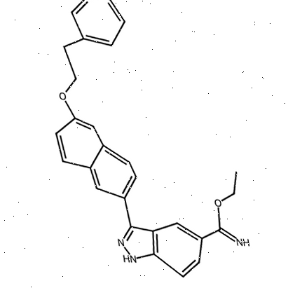 CCOC(=N)c1ccc2[nH]nc(-c3ccc4cc(OCCc5cccnc5)ccc4c3)c2c1